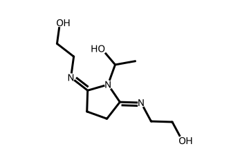 CC(O)N1/C(=N\CCO)CC/C1=N\CCO